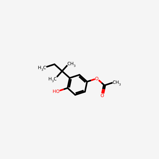 CCC(C)(C)c1cc(OC(C)=O)ccc1O